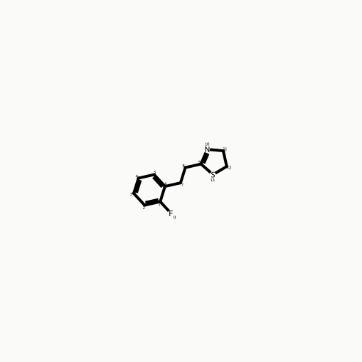 Fc1ccccc1CCC1=N[CH]CS1